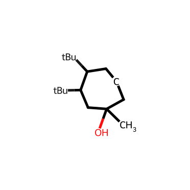 CC1(O)CCCC(C(C)(C)C)C(C(C)(C)C)C1